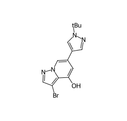 CC(C)(C)n1cc(-c2cc(O)c3c(Br)cnn3c2)cn1